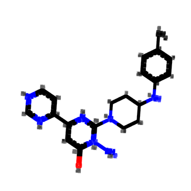 Bc1ccc(NC2CCN(c3nc(-c4ccncn4)cc(=O)n3N)CC2)cc1